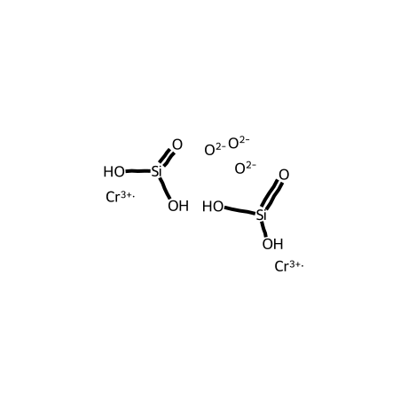 O=[Si](O)O.O=[Si](O)O.[Cr+3].[Cr+3].[O-2].[O-2].[O-2]